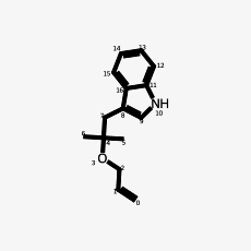 C=CCOC(C)(C)Cc1c[nH]c2ccccc12